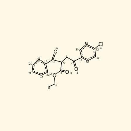 CCOC(=O)C(CC(=O)c1ccc(Cl)cc1)C(=O)c1ccccc1